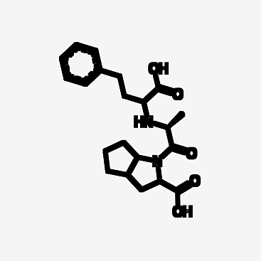 C[C@H](NC(CCc1ccccc1)C(=O)O)C(=O)N1C(C(=O)O)CC2CCCC21